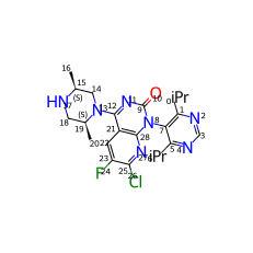 CC(C)c1ncnc(C(C)C)c1-n1c(=O)nc(N2C[C@H](C)NC[C@@H]2C)c2cc(F)c(Cl)nc21